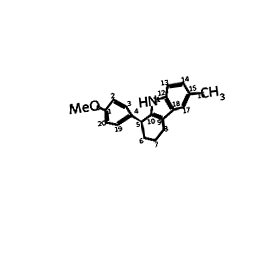 COc1ccc([C@@H]2CCCc3c2[nH]c2ccc(C)cc32)cc1